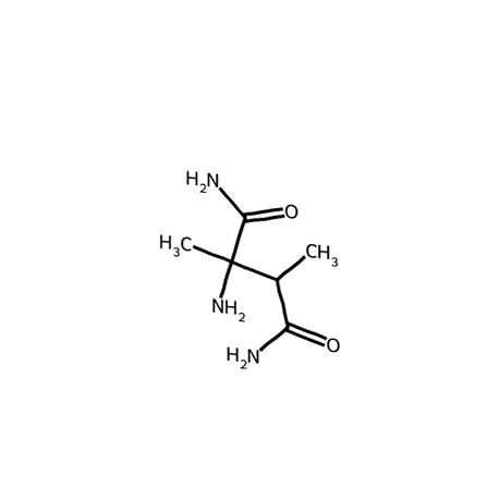 CC(C(N)=O)C(C)(N)C(N)=O